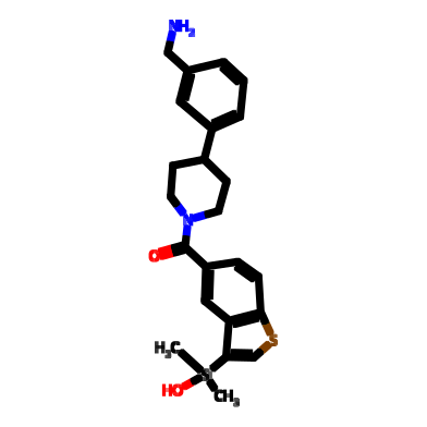 C[Si](C)(O)c1csc2ccc(C(=O)N3CCC(c4cccc(CN)c4)CC3)cc12